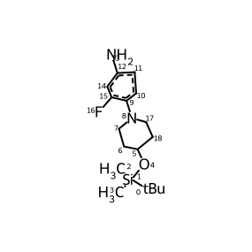 CC(C)(C)[Si](C)(C)OC1CCN(c2ccc(N)cc2F)CC1